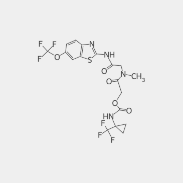 CN(CC(=O)Nc1nc2ccc(OC(F)(F)F)cc2s1)C(=O)COC(=O)NC1(C(F)(F)F)CC1